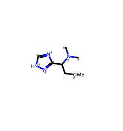 COCC(c1nc[nH]n1)N(C)C